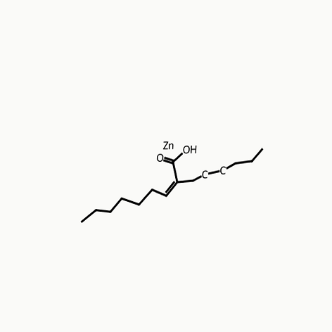 CCCCCCC=C(CCCCCC)C(=O)O.[Zn]